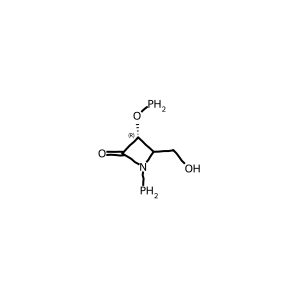 O=C1[C@H](OP)C(CO)N1P